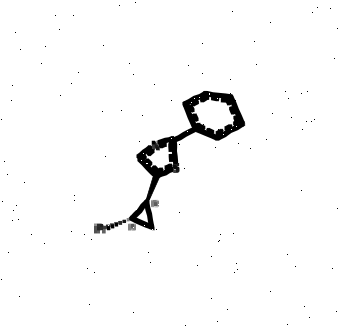 CC(C)[C@H]1C[C@@H]1c1cnc(-c2ccccc2)s1